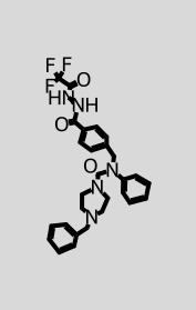 O=C(NNC(=O)C(F)(F)F)c1ccc(CN(C(=O)N2CCN(Cc3ccccc3)CC2)c2ccccc2)cc1